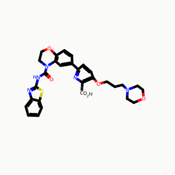 O=C(O)c1nc(-c2ccc3c(c2)N(C(=O)Nc2nc4ccccc4s2)CCO3)ccc1OCCCN1CCOCC1